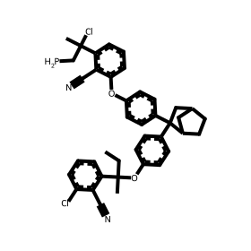 CCC(C)(Oc1ccc(C2(c3ccc(Oc4cccc(C(C)(Cl)CP)c4C#N)cc3)CC3CCC2C3)cc1)c1cccc(Cl)c1C#N